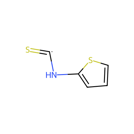 S=[C]Nc1cccs1